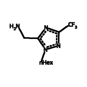 CCCCCCn1nc(C(F)(F)F)nc1CN